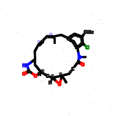 COc1cc2cc(c1Cl)N(C)C(=O)CC[C@]1(C)O[C@H]1C[C@@H]1CC(C/C=C/C=C(\C)C2)NC(=O)O1